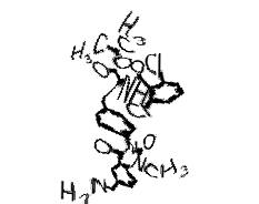 CC(C)OC(=O)[C@H](Cc1ccc(-n2c(=O)c3cc(CN)ccc3n(C)c2=O)cc1)NC(=O)c1c(Cl)cccc1Cl